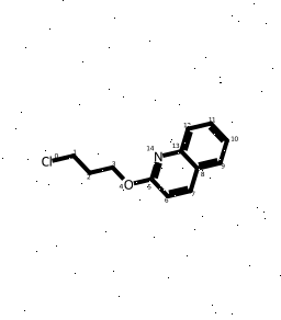 ClCCCOc1ccc2ccccc2n1